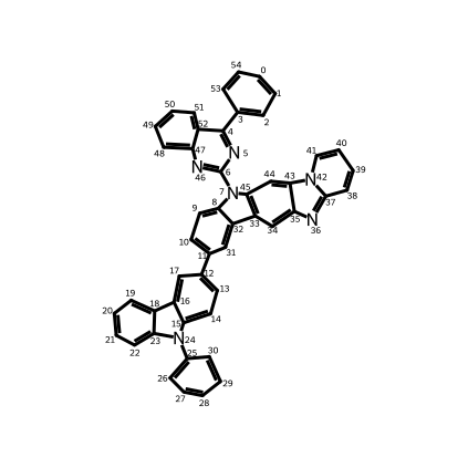 c1ccc(-c2nc(-n3c4ccc(-c5ccc6c(c5)c5ccccc5n6-c5ccccc5)cc4c4cc5nc6ccccn6c5cc43)nc3ccccc23)cc1